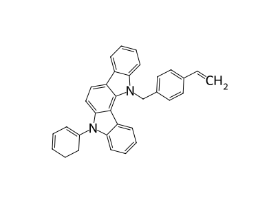 C=Cc1ccc(Cn2c3ccccc3c3ccc4c(c5ccccc5n4C4=CC=CCC4)c32)cc1